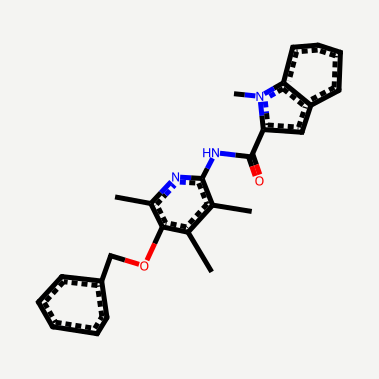 Cc1nc(NC(=O)c2cc3ccccc3n2C)c(C)c(C)c1OCc1ccccc1